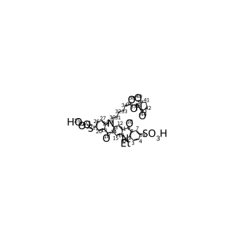 CCn1c2ccc(S(=O)(=O)O)cc2c(=O)c2cc3c(cc21)c(=O)c1cc(SOOO)ccc1n3CCCCCC(=O)ON1C(=O)CCC1=O